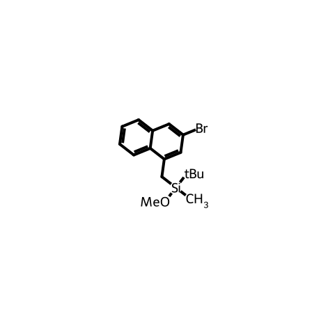 CO[Si](C)(Cc1cc(Br)cc2ccccc12)C(C)(C)C